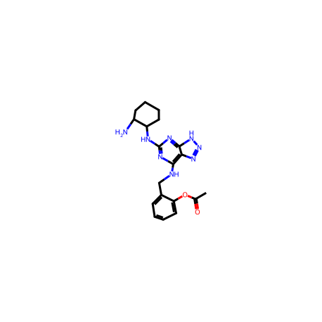 CC(=O)Oc1ccccc1CNc1nc(NC2CCCCC2N)nc2[nH]nnc12